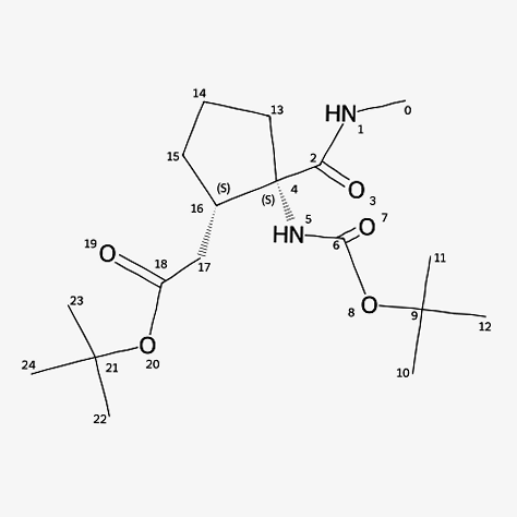 CNC(=O)[C@]1(NC(=O)OC(C)(C)C)CCC[C@H]1CC(=O)OC(C)(C)C